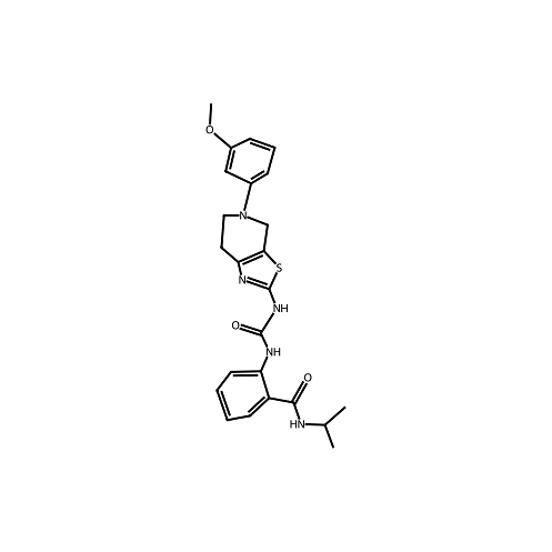 COc1cccc(N2CCc3nc(NC(=O)Nc4ccccc4C(=O)NC(C)C)sc3C2)c1